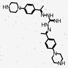 C/C(=N\NC(=N)N/N=C(\C)c1ccc(N2CCNCC2)cc1)c1ccc(N2CCNCC2)cc1